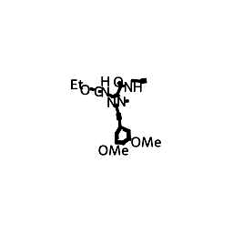 C#CCNC(=O)c1c(NCCOCC)nc(C#Cc2ccc(OC)c(OC)c2)n1C